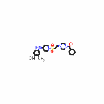 O=Nc1ccc(NC2CCN(S(=O)(=O)CCN3CCN(C(=O)C4CCCCC4)CC3)CC2)cc1C(F)(F)F